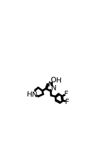 On1cc(C2CCNCC2)c(Cc2ccc(F)c(F)c2)n1